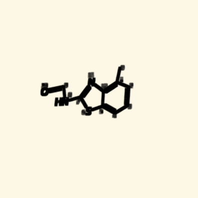 Cc1cccc2sc(NC=O)nc12